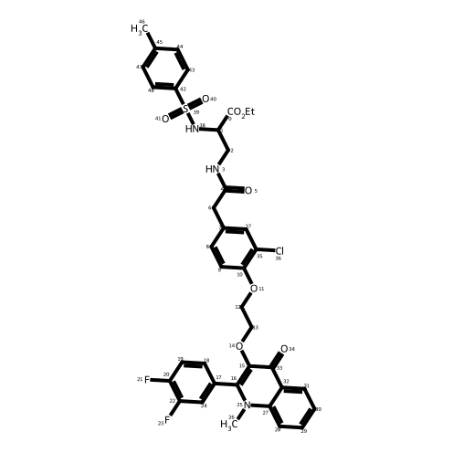 CCOC(=O)C(CNC(=O)Cc1ccc(OCCOc2c(-c3ccc(F)c(F)c3)n(C)c3ccccc3c2=O)c(Cl)c1)NS(=O)(=O)c1ccc(C)cc1